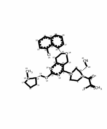 C=C(F)C(=O)N1CCN(c2nc(OC[C@@H]3CCCN3C)nc3c2CO[C@@H](c2cccc4cccc(Cl)c24)C3)C[C@@H]1CC#N